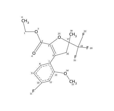 CCOC(=O)C1=C(c2ccc(F)cc2OC)CC(C)(C(F)(F)F)O1